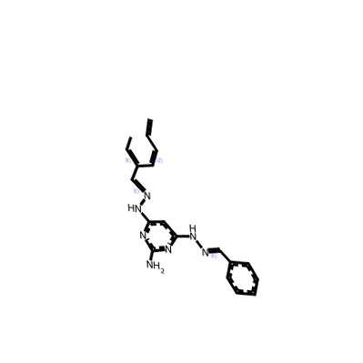 C=C\C=C/C(/C=N/Nc1cc(N/N=C/c2ccccc2)nc(N)n1)=C\C